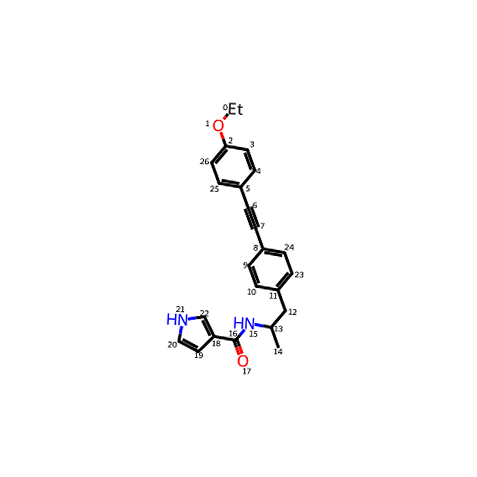 CCOc1ccc(C#Cc2ccc(CC(C)NC(=O)c3cc[nH]c3)cc2)cc1